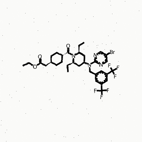 CCOC(=O)C[C@H]1CC[C@H](C(=O)N2[C@H](CC)CC(N(Cc3cc(C(F)(F)F)cc(C(F)(F)F)c3)c3ncc(Br)cn3)C[C@@H]2CC)CC1